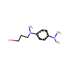 CN(C)c1ccc(N(C)CCCO)cc1